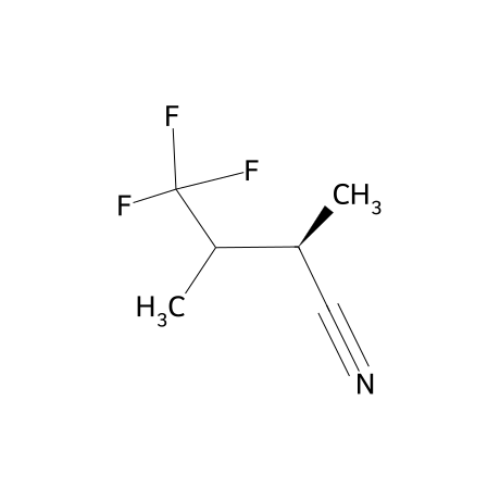 CC([C@@H](C)C#N)C(F)(F)F